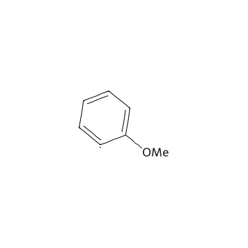 [CH2]Oc1[c]cccc1